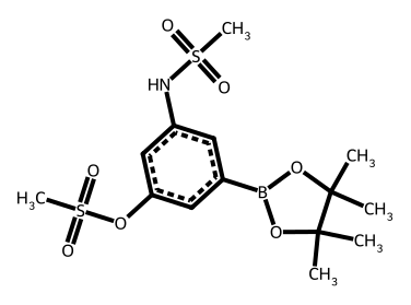 CC1(C)OB(c2cc(NS(C)(=O)=O)cc(OS(C)(=O)=O)c2)OC1(C)C